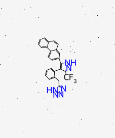 FC(F)(F)c1n[nH]c(-c2ccc3c(ccc4ccccc43)c2)c1-c1ccccc1Cc1nnn[nH]1